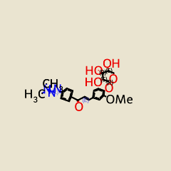 COc1cc(/C=C/C(=O)c2ccc(/N=N/N(C)C)cc2)ccc1O[C@H]1OC[C@H](O)[C@@H](O)[C@@H]1O